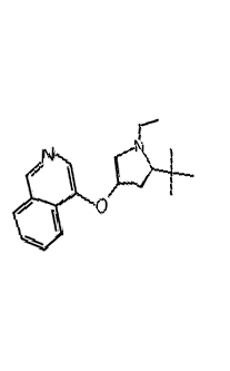 CCN1CC(Oc2cncc3ccccc23)CC1C(C)(C)C